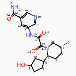 C[C@@H]1CC[C@@H](C2CCC(O)C2)N(C(=O)C(=O)Nc2cncc(C(N)=O)c2)C1